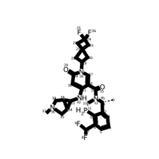 C[C@H](c1cccc(C(F)F)c1P)N(I)C(=O)c1cn(C2CC3(C2)CC(F)(F)C3)c(=O)cc1NC1C2CN(C)CC21